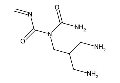 C=NC(=O)N(CC(CN)CN)C(N)=O